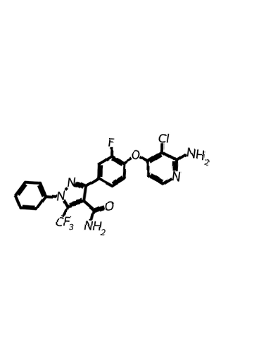 NC(=O)c1c(-c2ccc(Oc3ccnc(N)c3Cl)c(F)c2)nn(-c2ccccc2)c1C(F)(F)F